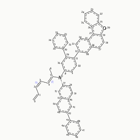 C=C/C=C\C=C(/C)N(c1ccc(-c2ccc3c(ccc4oc5ccccc5c43)c2)c(-c2ccccc2)c1)c1ccc2cc(-c3ccccc3)ccc2c1